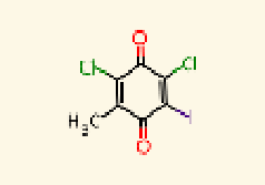 CC1=C(Cl)C(=O)C(Cl)=C(I)C1=O